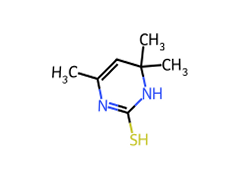 CC1=CC(C)(C)NC(S)=N1